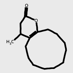 CC1CC(=O)OC2=C1CCCCCCCCCC2